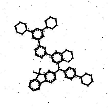 CC1(C)c2ccccc2-c2ccc(N(c3ccc(C4CCCCC4)cc3)c3cc(-c4cccc(-c5cc(C6CCCCC6)cc(C6CCCCC6)c5)c4)cc4c3CCCC4)cc21